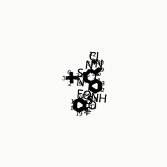 CC(C)(C)c1nc(-c2cc(NS(=O)(=O)c3c(F)cccc3F)ccc2F)c(-c2ccnc(Cl)n2)s1